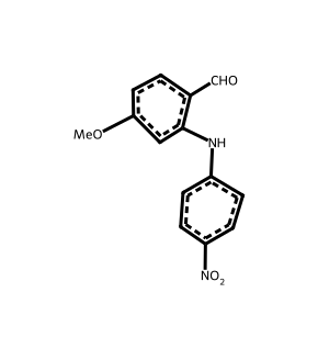 COc1ccc(C=O)c(Nc2ccc([N+](=O)[O-])cc2)c1